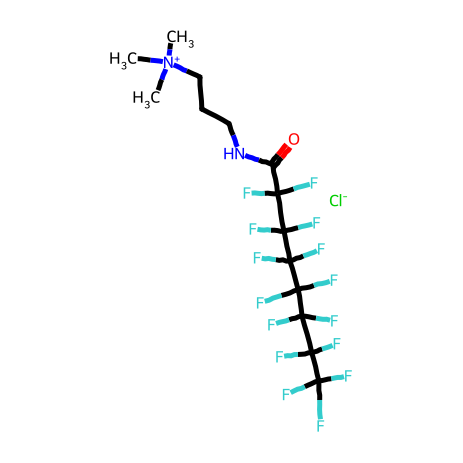 C[N+](C)(C)CCCNC(=O)C(F)(F)C(F)(F)C(F)(F)C(F)(F)C(F)(F)C(F)(F)C(F)(F)F.[Cl-]